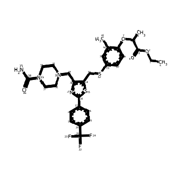 CCOC(=O)C(C)Oc1ccc(SCc2sc(-c3ccc(C(F)(F)F)cc3)nc2CN2CCN(C(N)=O)CC2)cc1C